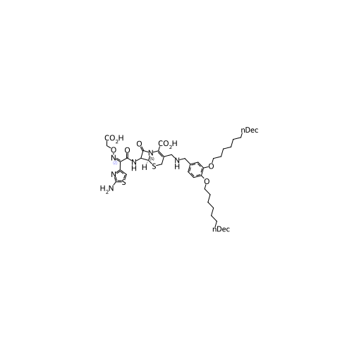 CCCCCCCCCCCCCCCCOc1ccc(CNCC2=C(C(=O)O)N3C(=O)C(NC(=O)/C(=N\OCC(=O)O)c4csc(N)n4)[C@@H]3SC2)cc1OCCCCCCCCCCCCCCCC